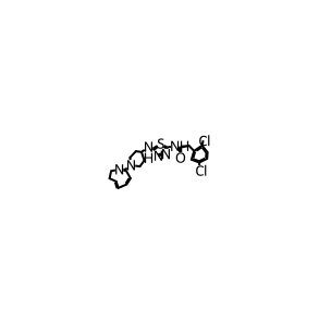 O=C(Cc1cc(Cl)ccc1Cl)Nc1nnc(NC2CCN(C3=N/CC/C=C/C=C\3)CC2)s1